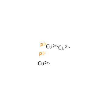 [Cu+2].[Cu+2].[Cu+2].[P-3].[P-3]